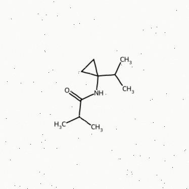 CC(C)C(=O)NC1(C(C)C)CC1